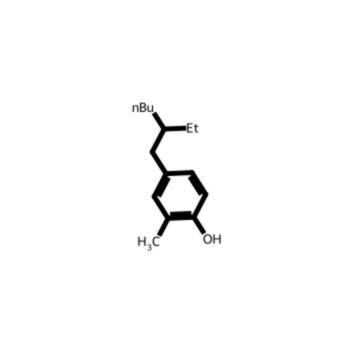 CCCCC(CC)Cc1ccc(O)c(C)c1